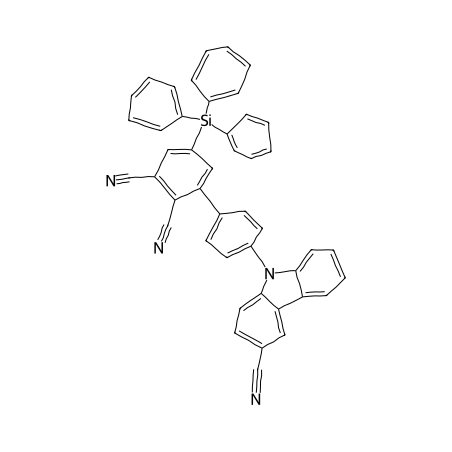 N#Cc1ccc2c(c1)c1ccccc1n2-c1ccc(-c2cc([Si](c3ccccc3)(c3ccccc3)c3ccccc3)cc(C#N)c2C#N)cc1